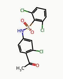 CC(=O)c1ccc(NS(=O)(=O)c2c(Cl)cccc2Cl)cc1Cl